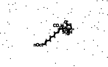 CCCCCCCCC=CCCCCCCC(C(=O)O)(N1C(=O)CCC1=O)S(=O)(=O)O